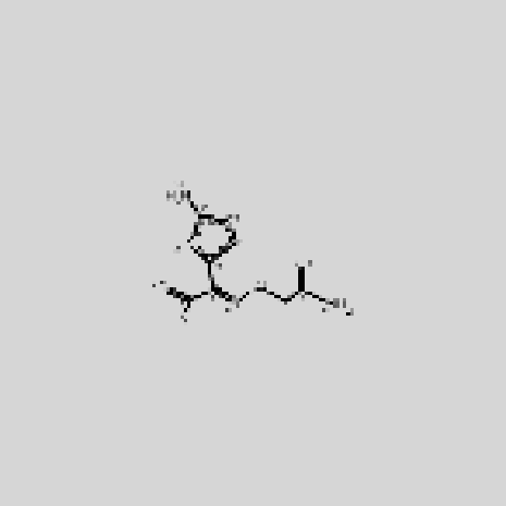 [NH]C(=O)/C(=N/OCC(N)=O)c1csc(N)n1